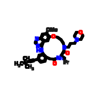 COc1cc2ncnc3c2cc1OCCCN(CCCN1CCOCC1)C(=O)[C@@H](CC(C)C)NC(=O)Cc1ccc(C#C[Si](C)(C)C)cc1N3